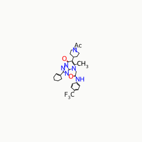 CC(=O)N1CCC(c2c(C)n(CC(=O)Nc3ccc(C(F)(F)F)cc3)c3nc(C4=CCCCC4)nn3c2=O)CC1